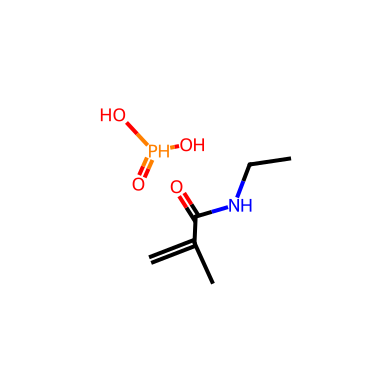 C=C(C)C(=O)NCC.O=[PH](O)O